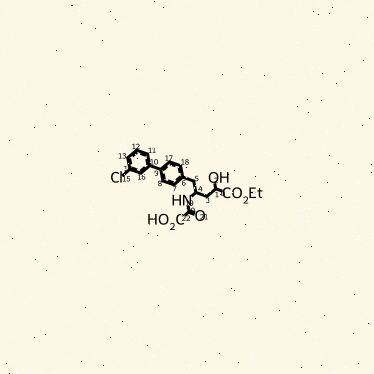 CCOC(=O)C(O)CC(Cc1ccc(-c2cccc(Cl)c2)cc1)NC(=O)C(=O)O